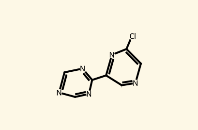 Clc1cn[c]c(-c2ncncn2)n1